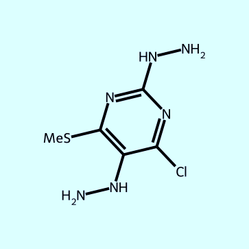 CSc1nc(NN)nc(Cl)c1NN